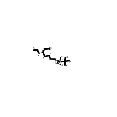 C=CC[C@@H](CI)CCCCO[Si](C)(C)C(C)(C)C